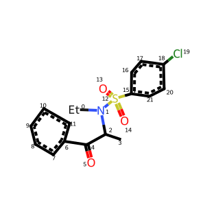 CCN(C(C)C(=O)c1ccccc1)S(=O)(=O)c1ccc(Cl)cc1